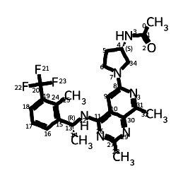 CC(=O)N[C@H]1CCN(c2cc3c(N[C@H](C)c4cccc(C(F)(F)F)c4C)nc(C)nc3c(C)n2)C1